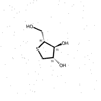 OC[C@H]1S[CH][C@@H](O)[C@@H]1O